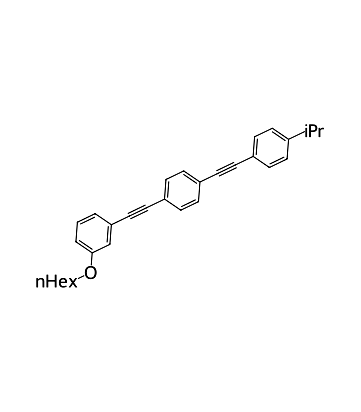 CCCCCCOc1cccc(C#Cc2ccc(C#Cc3ccc(C(C)C)cc3)cc2)c1